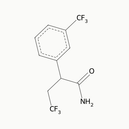 NC(=O)C(CC(F)(F)F)c1cccc(C(F)(F)F)c1